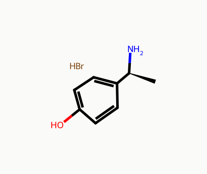 Br.C[C@H](N)c1ccc(O)cc1